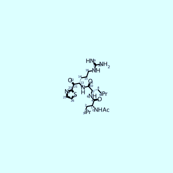 CC(=O)N[C@@H](CC(C)C)C(=O)N[C@@H](CC(C)C)C(=O)N[C@@H](CCCNC(=N)N)C(=O)c1nccs1